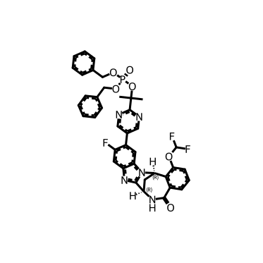 CC(C)(OP(=O)(OCc1ccccc1)OCc1ccccc1)c1ncc(-c2cc3c(cc2F)nc2n3[C@@H]3C[C@H]2NC(=O)c2cccc(OC(F)F)c23)cn1